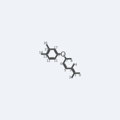 CC(C)=C(C)/C=C\C(C)Oc1ccc(C)c(C)c1